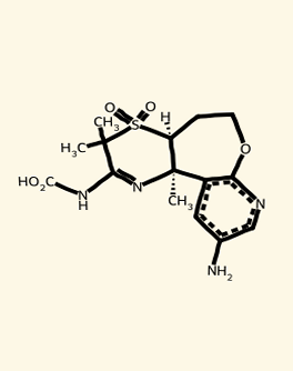 CC1(C)C(NC(=O)O)=N[C@]2(C)c3cc(N)cnc3OCC[C@@H]2S1(=O)=O